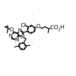 Cc1ccc(C)c(Cn2c(-c3ccc(OCCC(C)C(=O)O)cc3Cl)nc3c(OC4(C)CC4)ncnc32)c1